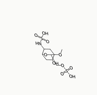 COC12CC(NS(=O)(=O)O)C(CC1O)OC2COS(=O)(=O)O